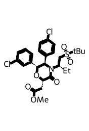 CC[C@@H](CS(=O)(=O)C(C)(C)C)N1C(=O)[C@H](CC(=O)OC)O[C@H](c2cccc(Cl)c2)[C@H]1c1ccc(Cl)cc1